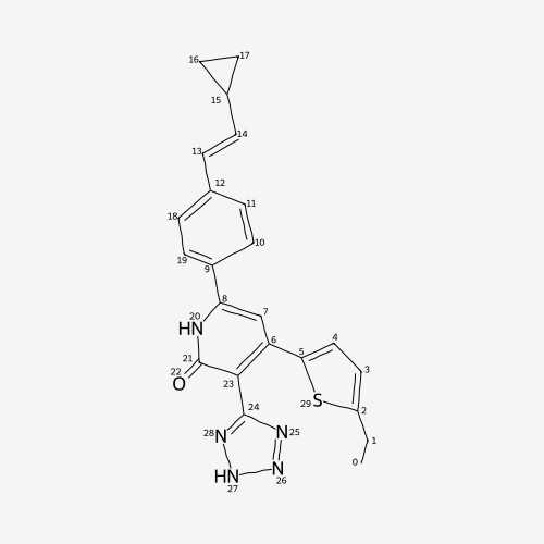 CCc1ccc(-c2cc(-c3ccc(C=CC4CC4)cc3)[nH]c(=O)c2-c2nn[nH]n2)s1